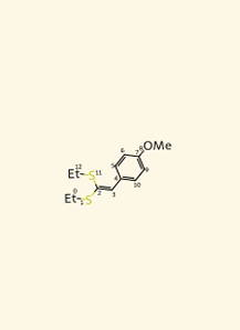 CCSC(=Cc1ccc(OC)cc1)SCC